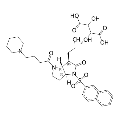 CCC[C@H]1C(=O)N(S(=O)(=O)c2ccc3ccccc3c2)[C@H]2CCN(C(=O)CCCN3CCCCC3)[C@H]12.O=C(O)C(O)C(O)C(=O)O